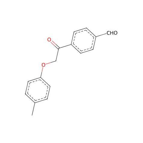 Cc1ccc(OCC(=O)c2ccc(C=O)cc2)cc1